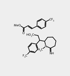 CN1C(=N)CCCCC1C(CC(=O)O)c1ccc(C(F)(F)F)cc1.COC(=O)C=Cc1ccc(C(F)(F)F)cc1